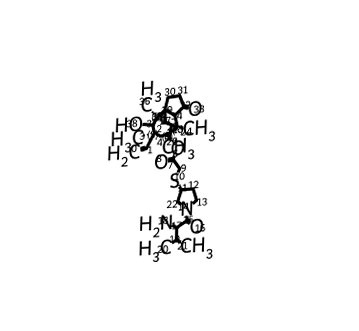 C=C[C@]1(C)C[C@@H](OC(=O)CSC2CCN(C(=O)C(N)C(C)C)C2)[C@]2(C)C(C)CCC3(CCC(=O)C32)[C@@H](C)C1O